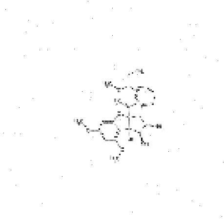 C=C(/C=C\C(=C/C)OC)[C@@]12Oc3cc(OC)cc(OC)c3[C@]1(O)[C@H](O)[C@H](N)[C@H]2c1ccccc1